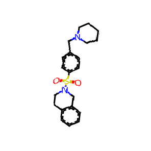 O=S(=O)(c1ccc(CN2CCCCC2)cc1)N1CCc2ccccc2C1